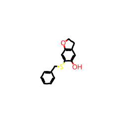 Oc1cc2c(cc1SCc1ccccc1)OCC2